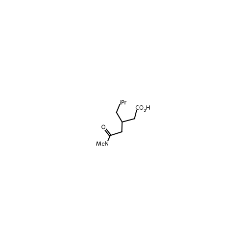 CNC(=O)CC(CC(=O)O)CC(C)C